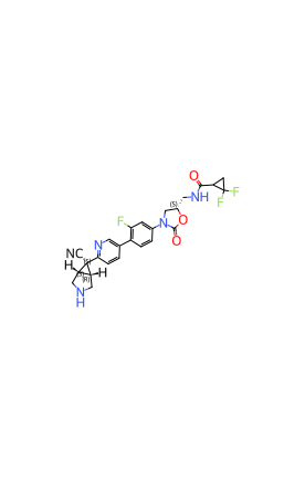 N#C[C@]1(c2ccc(-c3ccc(N4C[C@H](CNC(=O)C5CC5(F)F)OC4=O)cc3F)cn2)[C@@H]2CNC[C@@H]21